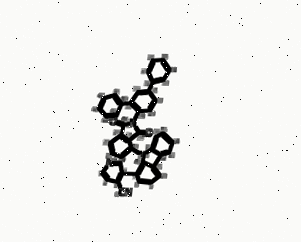 N#Cc1ccncc1-c1cccc2c3ccccc3n(-c3cccc4c3C(=O)N(c3ccc(-c5ccccc5)cc3-c3ccccc3)C4=O)c12